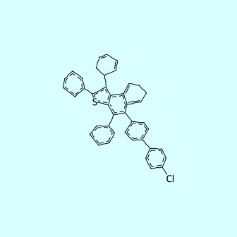 Clc1ccc(-c2ccc(-c3c(-c4ccccc4)c4sc(-c5ccccc5)c(C5C=CC=CC5)c4c4c3=CCCC=4)cc2)cc1